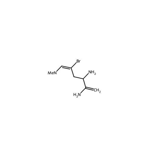 C=C(N)C(N)C/C(Br)=C\NC